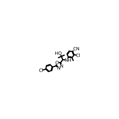 Cc1c(NC(c2nnc(-c3ccc(Cl)cc3)o2)C(C)(C)O)ccc(C#N)c1Cl